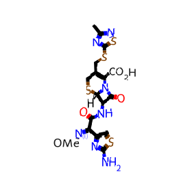 CO/N=C(/C(=O)NC1C(=O)N2C(C(=O)O)=C(CSc3nc(C)ns3)CS[C@H]12)c1csc(N)n1